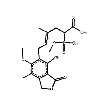 COc1c(C)c2c(c(O)c1C/C=C(\C)CC(C(=O)O)P(=O)(O)OC)C(=O)OC2